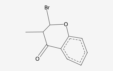 CC1C(=O)c2ccccc2OC1Br